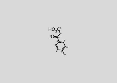 Cc1ccc(C(=O)CC(=O)O)cc1